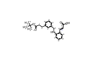 CC(C)(C)OC(=O)CCc1cccc(CNc2ccccc2/C=C/C(=O)O)c1